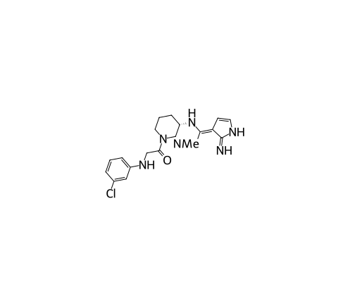 CN/C(N[C@H]1CCCN(C(=O)CNc2cccc(Cl)c2)C1)=C1/C=CNC1=N